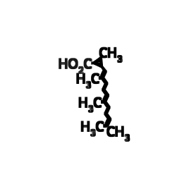 CC(C)=CCC/C(C)=C/CC/C(C)=C/[C@@H]1[C@H](C)[C@@H]1C(=O)O